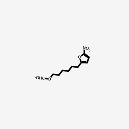 O=[C]OCCCCCCc1ccc([N+](=O)[O-])o1